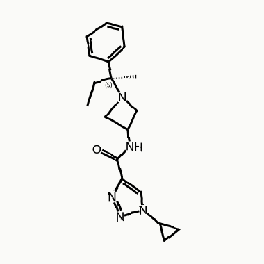 CC[C@@](C)(c1ccccc1)N1CC(NC(=O)c2cn(C3CC3)nn2)C1